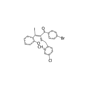 COc1ccccc1C(I)=C(SCc1ccc(Cl)cc1)C(=O)c1ccc(Br)cc1